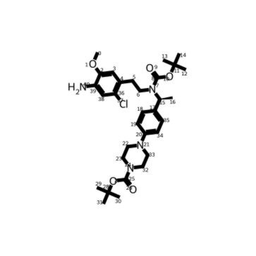 COc1cc(CCN(C(=O)OC(C)(C)C)[C@@H](C)c2ccc(N3CCN(C(=O)OC(C)(C)C)CC3)cc2)c(Cl)cc1N